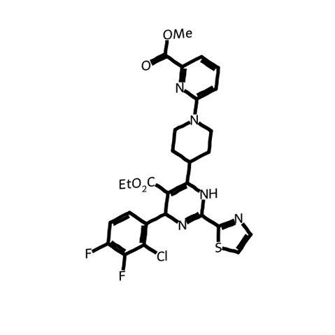 CCOC(=O)C1=C(C2CCN(c3cccc(C(=O)OC)n3)CC2)NC(c2nccs2)=NC1c1ccc(F)c(F)c1Cl